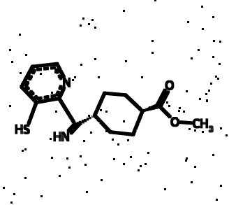 COC(=O)[C@H]1CC[C@H](C(=N)c2ncccc2S)CC1